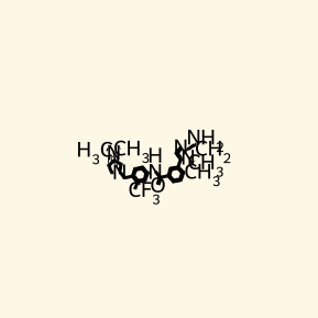 C=C(N)c1ncc(-c2cc(C(=O)Nc3ccc(CN4CC[C@@H](N(C)C)C4)c(C(F)(F)F)c3)ccc2C)n1C